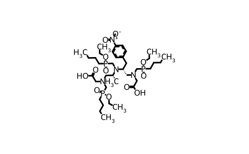 CCCCP(=O)(CN(CC(=O)O)C[C@@H](Cc1ccc([N+](=O)[O-])cc1)N(CP(=O)(CCCC)OCC)[C@H](C)CN(CC(=O)O)CP(=O)(CCCC)OCC)OCC